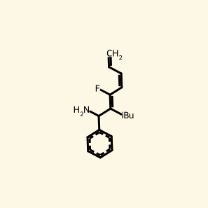 C=C/C=C\C(F)=C(/C(C)CC)C(N)c1ccccc1